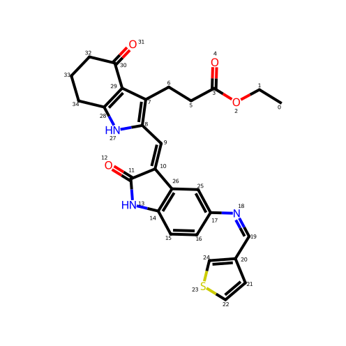 CCOC(=O)CCc1c(C=C2C(=O)Nc3ccc(/N=C\c4ccsc4)cc32)[nH]c2c1C(=O)CCC2